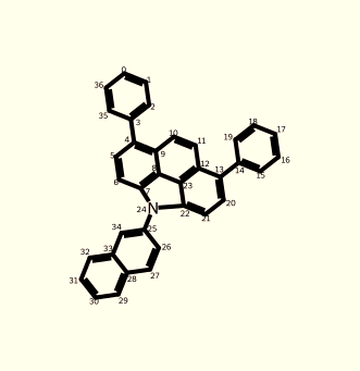 c1ccc(-c2ccc3c4c2ccc2c(-c5ccccc5)ccc(c24)n3-c2ccc3ccccc3c2)cc1